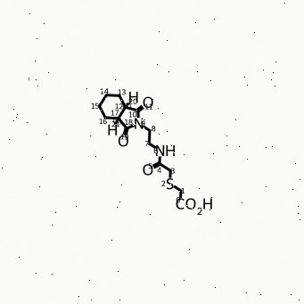 O=C(O)CSCC(=O)NCCN1C(=O)[C@H]2CCCC[C@H]2C1=O